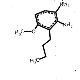 CCCCc1c(OC)ccc(N)c1N